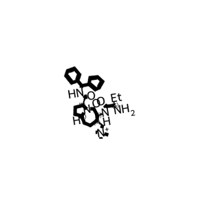 CC[C@H](N)C(=O)N[C@@H]1C(=O)N2[C@@H](CC[C@@H]1C[N+](C)(C)C)CC[C@H]2C(=O)NC(c1ccccc1)c1ccccc1